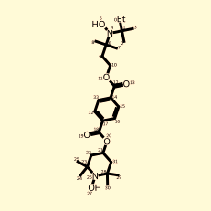 CCC(C)(C)N(O)C(C)(C)CCOC(=O)c1ccc(C(=O)OC2CC(C)(C)N(O)C(C)(C)C2)cc1